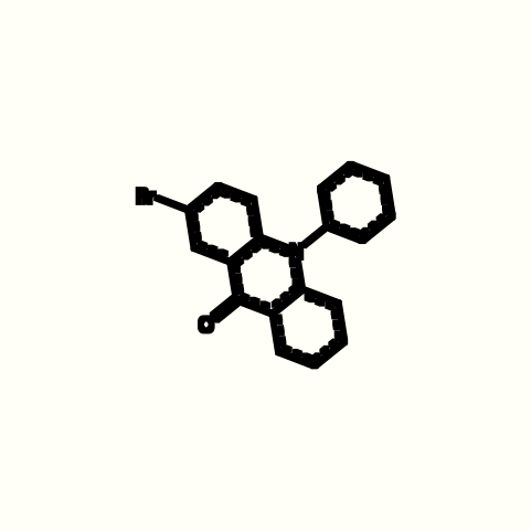 O=c1c2ccccc2n(-c2ccccc2)c2ccc(Br)cc12